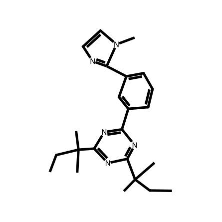 CCC(C)(C)c1nc(-c2cccc(-c3nccn3C)c2)nc(C(C)(C)CC)n1